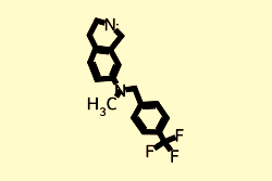 CN(Cc1ccc(C(F)(F)F)cc1)c1ccc2c(c1)C[N]CC2